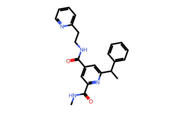 CNC(=O)c1cc(C(=O)NCCc2ccccn2)cc(C(C)c2ccccc2)n1